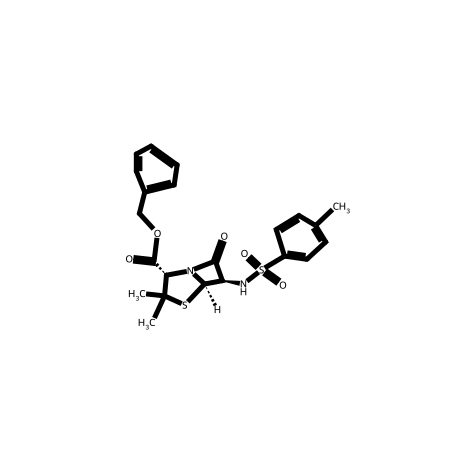 Cc1ccc(S(=O)(=O)N[C@@H]2C(=O)N3[C@@H]2SC(C)(C)[C@@H]3C(=O)OCc2ccccc2)cc1